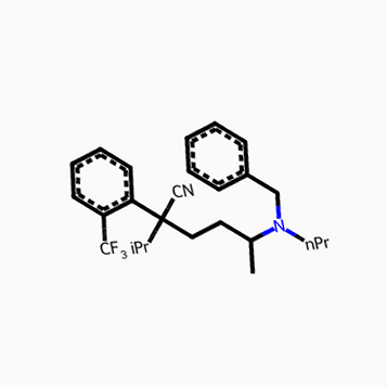 CCCN(Cc1ccccc1)C(C)CCC(C#N)(c1ccccc1C(F)(F)F)C(C)C